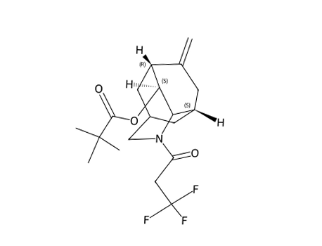 C=C1C[C@@H]2CC3C[C@H]1[C@H](OC(=O)C(C)(C)C)C2N(C(=O)CC(F)(F)F)C3